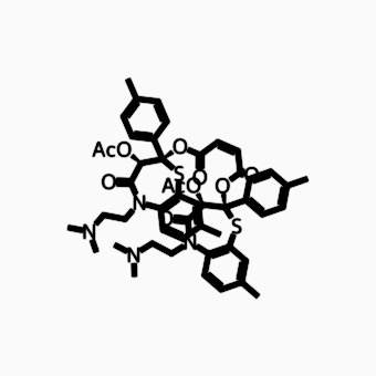 CC(=O)O[C@@H]1C(=O)N(CCN(C)C)c2ccc(C)cc2S[C@@]1(OC(=O)/C=C\C(=O)O[C@@]1(c2ccc(C)cc2)Sc2cc(C)ccc2N(CCN(C)C)C(=O)[C@H]1OC(C)=O)c1ccc(C)cc1